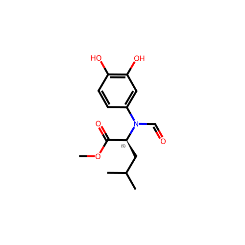 COC(=O)[C@H](CC(C)C)N(C=O)c1ccc(O)c(O)c1